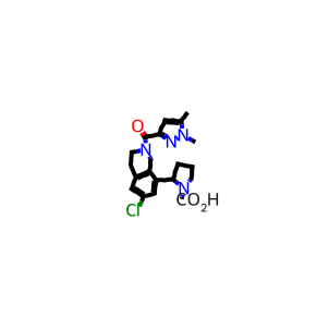 Cc1cc(C(=O)N2CCc3cc(Cl)cc(C4CCCN4C(=O)O)c3C2)nn1C